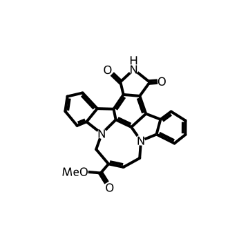 COC(=O)/C1=C/Cn2c3ccccc3c3c4c(c5c6ccccc6n(c5c32)C1)C(=O)NC4=O